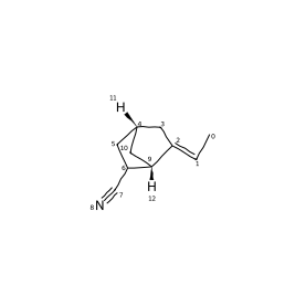 CC=C1C[C@H]2CC(C#N)[C@@H]1C2